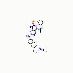 CN(C)CC1CCc2ccc(Nc3ncc4c(=N)n(-c5c(Cl)cccc5Cl)c(=O)[nH]c4n3)cc2C1